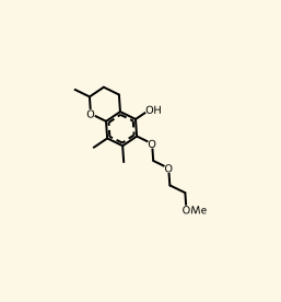 COCCOCOc1c(C)c(C)c2c(c1O)CCC(C)O2